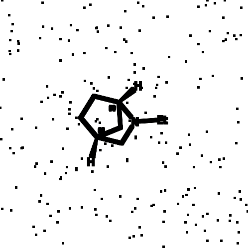 [CH2]CN1C[C@@H]2CC[C@H]1C2